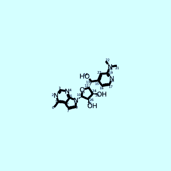 Cc1ncnc2c1ccn2[C@@H]1O[C@H](C(O)c2ccnc(N(C)C)c2)[C@@H](O)[C@H]1O